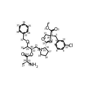 COC(=O)[C@@]1(Cc2cccc(Cl)c2)COC([C@@H]2CCCN2C[C@@H](OC(=O)[C@H](C)N)C(C)OCc2ccccc2)=N1